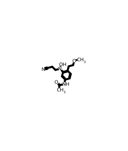 COCCc1ccc(NC(C)=O)cc1N(O)CCC#N